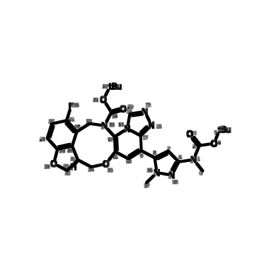 CN(C(=O)OC(C)(C)C)c1cc(-c2cc3c(n4cnnc24)N(C(=O)OC(C)(C)C)Cc2c(F)ccc4c2[C@H](CO4)CO3)n(C)n1